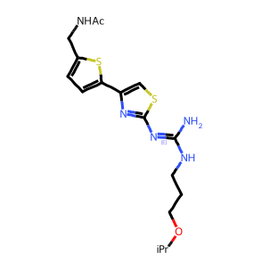 CC(=O)NCc1ccc(-c2csc(/N=C(\N)NCCCOC(C)C)n2)s1